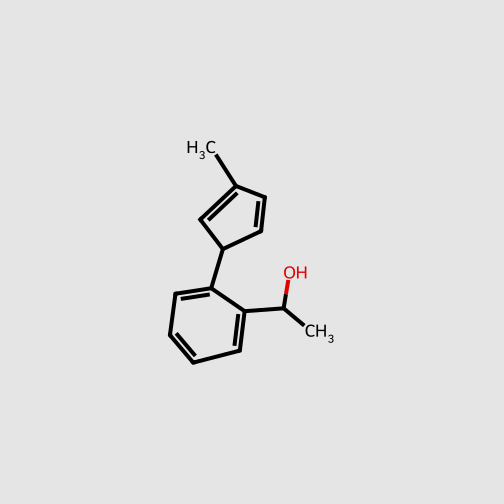 CC1=CC(c2ccccc2C(C)O)C=C1